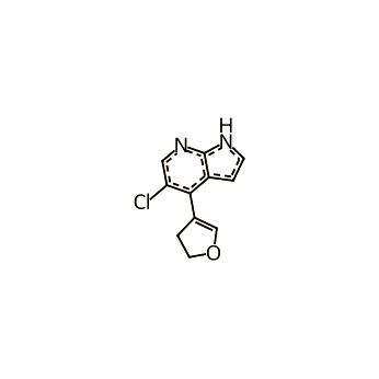 Clc1cnc2[nH]ccc2c1C1=COCC1